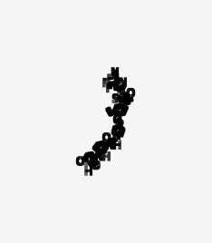 CCc1cc(N2C(=S)N(c3cnc(C#N)c(C(F)(F)F)c3)C(=O)C2(C)C)ccc1OCC1CCN(CC(=O)Nc2cccc(NC3CCC(=O)NC3=O)c2)CC1